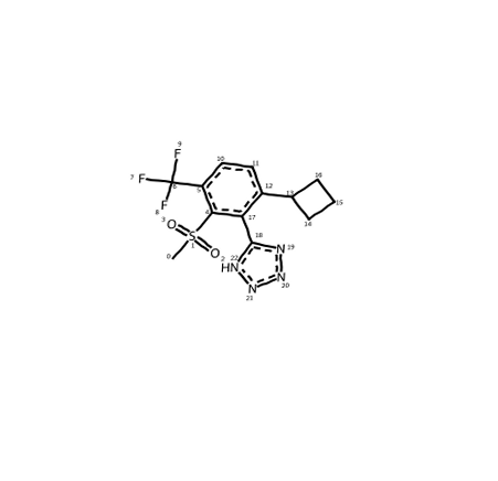 CS(=O)(=O)c1c(C(F)(F)F)ccc(C2CCC2)c1-c1nnn[nH]1